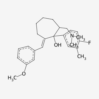 COc1cccc(C=C2CCCCC(CN(C)C)C2(O)c2ccc(F)c(C)c2)c1